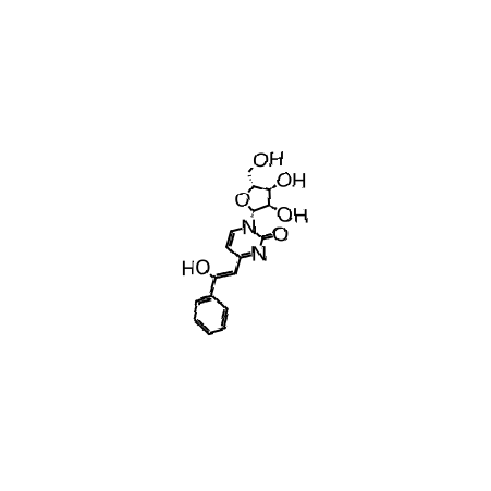 O=c1nc(C=C(O)c2ccccc2)ccn1[C@@H]1O[C@H](CO)[C@@H](O)[C@H]1O